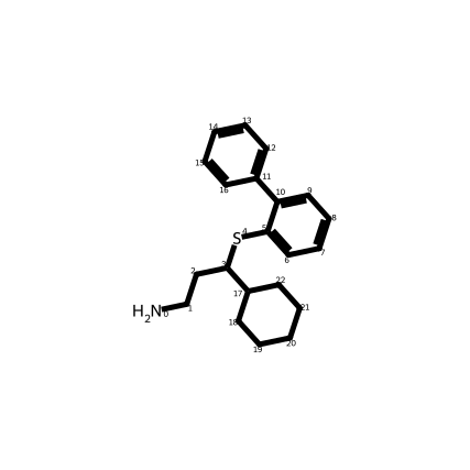 NCCC(Sc1ccccc1-c1ccccc1)C1CCCCC1